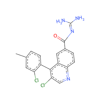 Cc1ccc(-c2c(Cl)cnc3ccc(C(=O)N=C(N)N)cc23)c(Cl)c1